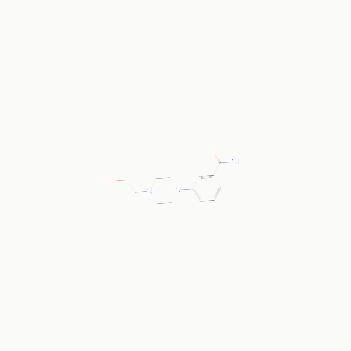 NC(=O)c1cccc(N2CCN(CCO)CC2)c1